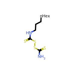 CCCCCCCCCNC(=S)SSC(N)=S